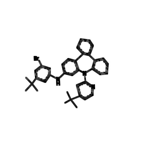 CC(C)(C)c1cc(Br)cc(Nc2ccc3c(c2)N(c2cc(C(C)(C)C)ccn2)c2ccccc2-c2ccccc2-3)c1